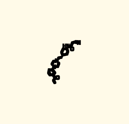 CCC(=O)c1cccc(N2CCN(CC[C@H]3CC[C@H](NC(=O)CC#N)CC3)CC2)c1